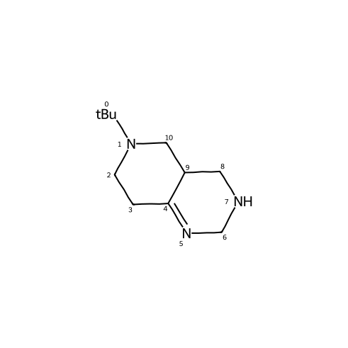 CC(C)(C)N1CCC2=NCNCC2C1